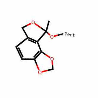 CCCCCOC1(C)OCc2ccc3c(c21)OCO3